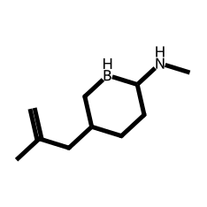 C=C(C)CC1CBC(NC)CC1